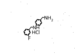 Cl.NCc1ccc(NCc2cccc(F)c2)cc1